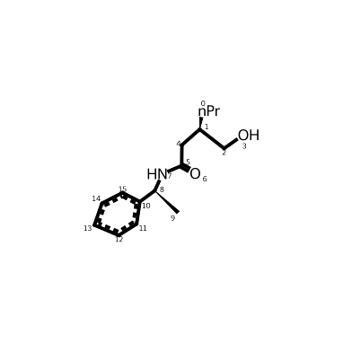 CCC[C@@H](CO)CC(=O)N[C@@H](C)c1ccccc1